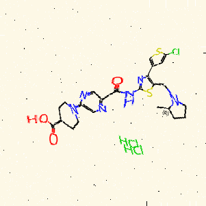 C[C@@H]1CCCN1Cc1sc(NC(=O)c2cnc(N3CCC(C(=O)O)CC3)cn2)nc1-c1csc(Cl)c1.Cl.Cl